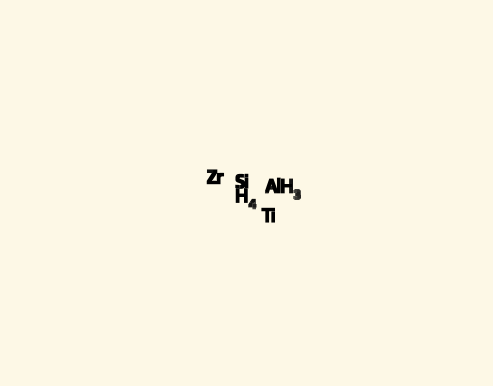 [AlH3].[SiH4].[Ti].[Zr]